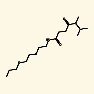 CCCOCCOCCNC(=O)CCC(=O)N(C)C(C)C